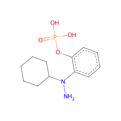 NN(c1ccccc1OP(=O)(O)O)C1CCCCC1